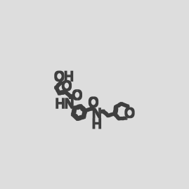 O=C(Nc1cccc(C(=O)NCCC2=CCCOCC2)c1)C1=CCC(O)O1